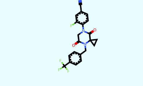 N#Cc1ccc(N2CC(=O)N(Cc3ccc(C(F)(F)F)cc3)C3(CC3)C2=O)c(F)c1